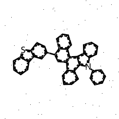 c1ccc(-n2c3ccccc3c3c4c5ccccc5c(-c5ccc6sc7ccccc7c6c5)cc4c4ccccc4c32)cc1